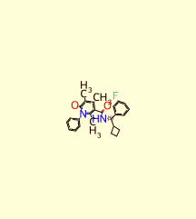 Cc1c(C(=O)N[C@H](c2cccc(F)c2)C2CCC2)c(C)n(-c2ccccc2)c(=O)c1C